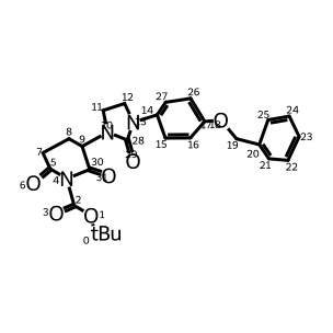 CC(C)(C)OC(=O)N1C(=O)CCC(N2CCN(c3ccc(OCc4ccccc4)cc3)C2=O)C1=O